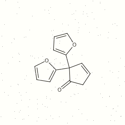 O=C1CC=CC1(c1ccco1)c1ccco1